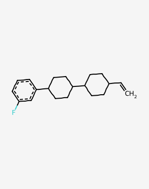 C=CC1CCC(C2CCC(c3cccc(F)c3)CC2)CC1